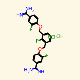 Cl.Cl.N=C(N)c1ccc(OCc2cccc(COc3ccc(C(=N)N)cc3F)c2F)c(F)c1